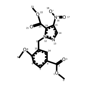 COC(=O)c1ccc(OC)c(Cn2ncc([N+](=O)[O-])c2C(=O)OC)c1